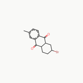 Cc1ccc2c(c1)C(=O)C1CCC(Br)CC1C2=O